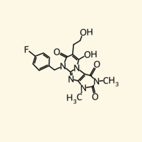 Cn1c(=O)c2c(nc3n(Cc4ccc(F)cc4)c(=O)c(CCO)c(O)n23)n(C)c1=O